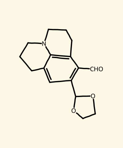 O=Cc1c(C2OCCO2)cc2c3c1CCCN3CCC2